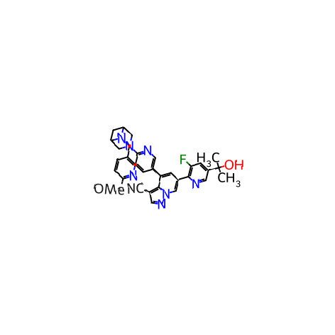 COc1ccc(CN2C3CC2CN(c2ccc(-c4cc(-c5ncc(C(C)(C)O)cc5F)cn5ncc(C#N)c45)cn2)C3)cn1